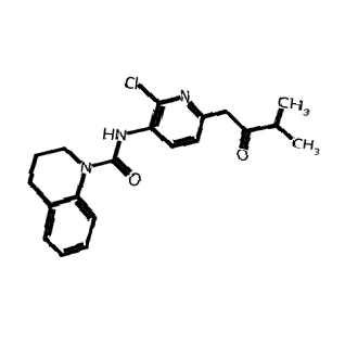 CC(C)C(=O)Cc1ccc(NC(=O)N2CCCc3ccccc32)c(Cl)n1